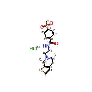 C[C@@H]1Cc2ccsc2[C@H](C)N1CCNC(=O)c1ccc(S(C)(=O)=O)cc1.Cl